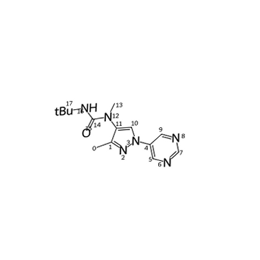 Cc1nn(-c2cncnc2)cc1N(C)C(=O)NC(C)(C)C